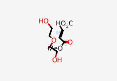 COC(=O)/C=C/C(=O)O.OCCOCCO